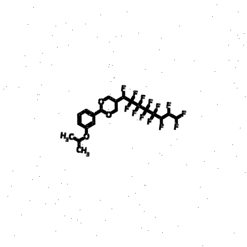 CC(C)Oc1cccc(C2OCC(C(F)C(F)(F)C(F)(F)C(F)(F)C(F)(F)C(F)C(F)C(F)F)CO2)c1